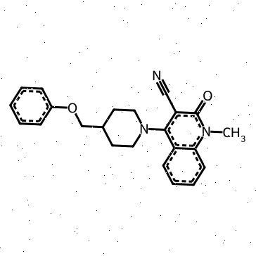 Cn1c(=O)c(C#N)c(N2CCC(COc3ccccc3)CC2)c2ccccc21